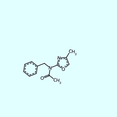 CC(=O)N(Cc1ccccc1)c1nc(C)co1